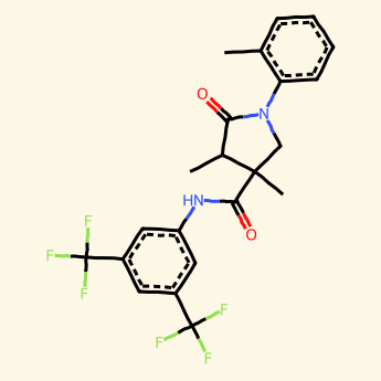 Cc1ccccc1N1CC(C)(C(=O)Nc2cc(C(F)(F)F)cc(C(F)(F)F)c2)C(C)C1=O